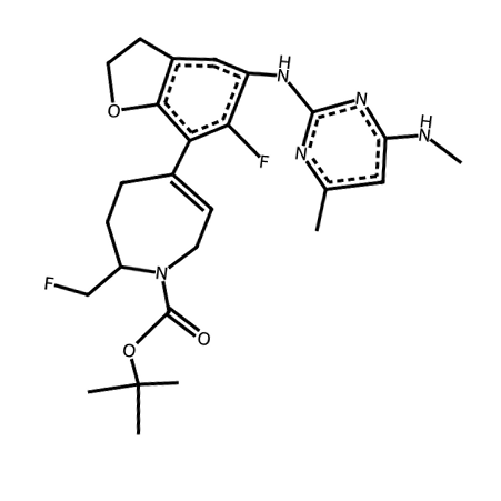 CNc1cc(C)nc(Nc2cc3c(c(C4=CCN(C(=O)OC(C)(C)C)C(CF)CC4)c2F)OCC3)n1